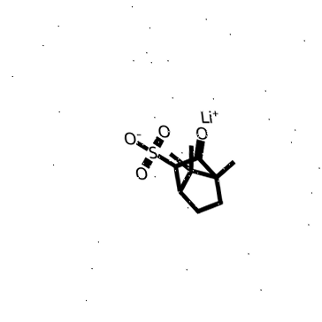 CC12CCC(C(S(=O)(=O)[O-])C1=O)C2(C)C.[Li+]